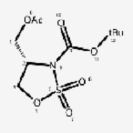 CC(=O)OC[C@H]1COS(=O)(=O)N1C(=O)OC(C)(C)C